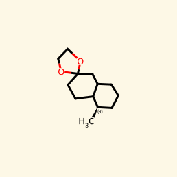 C[C@@H]1CCCC2CC3(CCC21)OCCO3